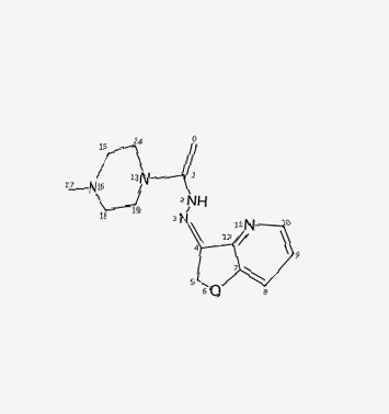 C=C(N/N=C1/COc2cccnc21)N1CCN(C)CC1